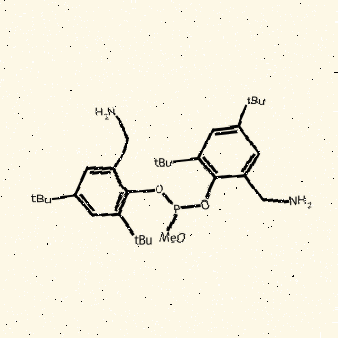 COP(Oc1c(CN)cc(C(C)(C)C)cc1C(C)(C)C)Oc1c(CN)cc(C(C)(C)C)cc1C(C)(C)C